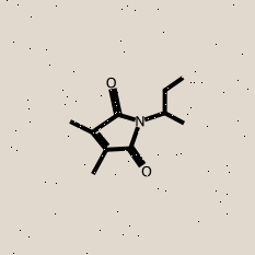 CCC(C)N1C(=O)C(C)=C(C)C1=O